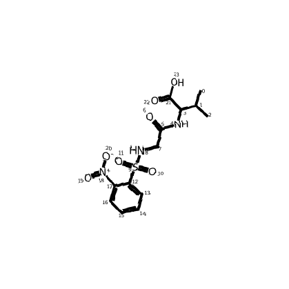 CC(C)C(NC(=O)CNS(=O)(=O)c1ccccc1[N+](=O)[O-])C(=O)O